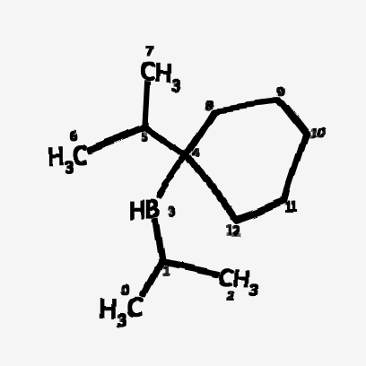 CC(C)BC1(C(C)C)CCCCC1